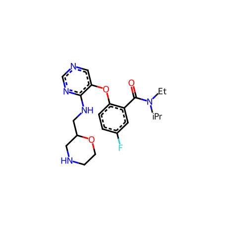 CCN(C(=O)c1cc(F)ccc1Oc1cncnc1NCC1CNCCO1)C(C)C